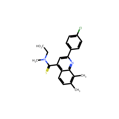 Cc1ccc2c(C(=S)N(C)CC(=O)O)cc(-c3ccc(Cl)cc3)nc2c1C